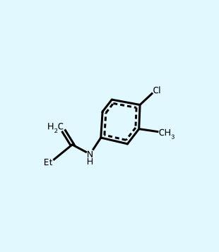 C=C(CC)Nc1ccc(Cl)c(C)c1